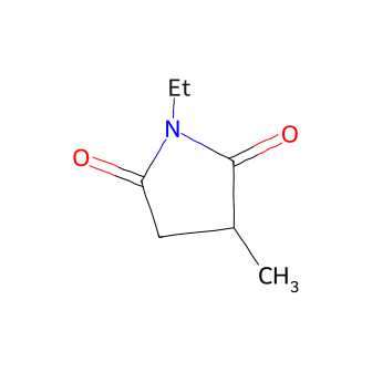 CCN1C(=O)CC(C)C1=O